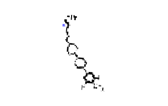 CCC/C=C/CCC[C@H]1CC[C@H]([C@H]2CC[C@H](c3cc(F)c(C(F)(F)F)c(F)c3)CC2)CC1